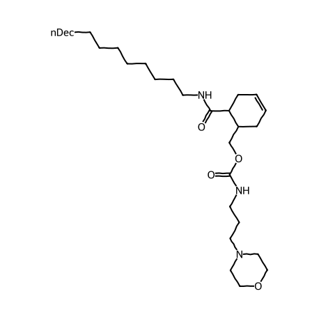 CCCCCCCCCCCCCCCCCCNC(=O)C1CC=CCC1COC(=O)NCCCN1CCOCC1